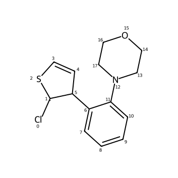 Cl[C]1SC=CC1c1ccccc1N1CCOCC1